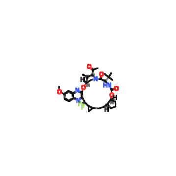 COc1ccc2nc3c(nc2c1)O[C@H]1CN(C(=O)[C@H](C(C)(C)C)NC(=O)O[C@@H]2CCC[C@H]2CCC2CC2C3(F)F)[C@H](C(C)=O)[C@@H]1C